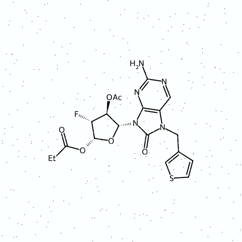 CCC(=O)O[C@H]1O[C@@H](n2c(=O)n(Cc3ccsc3)c3cnc(N)nc32)[C@H](OC(C)=O)[C@H]1F